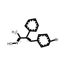 CC(=N\O)/C(=C/c1ccc(Br)cc1)c1ccccc1